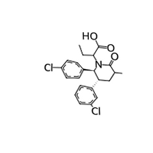 CCC(C(=O)O)N1C(=O)C(C)C[C@H](c2cccc(Cl)c2)[C@H]1c1ccc(Cl)cc1